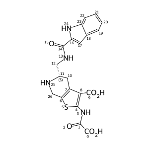 O=C(O)C(=O)Nc1sc2c(c1C(=O)O)C[C@@H](CNC(=O)c1cc3ccccc3[nH]1)NC2